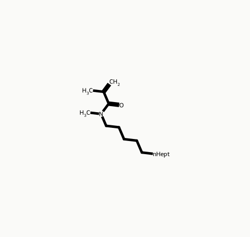 C=C(C)C(=O)N(C)CCCCCCCCCCCC